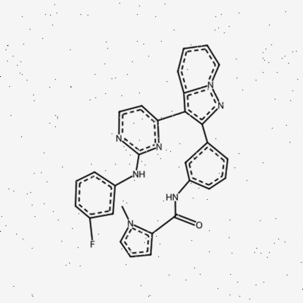 Cn1cccc1C(=O)Nc1cccc(-c2nn3ccccc3c2-c2ccnc(Nc3cccc(F)c3)n2)c1